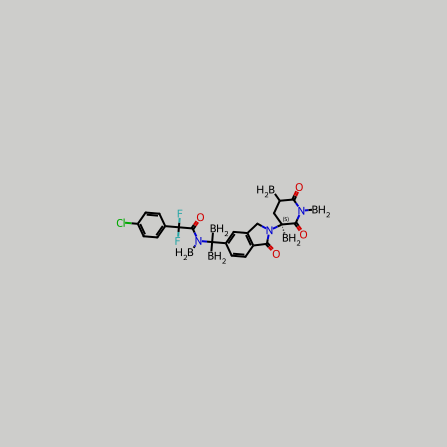 BC1C[C@](B)(N2Cc3cc(C(B)(B)N(B)C(=O)C(F)(F)c4ccc(Cl)cc4)ccc3C2=O)C(=O)N(B)C1=O